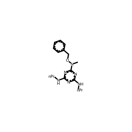 CCCNc1nc(NCCC)nc(N(C)OCc2ccccc2)n1